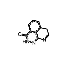 O=c1[nH]nc2c3c(cccc13)CC=N2